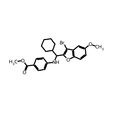 COC(=O)c1ccc(NC(c2oc3ccc(OC)cc3c2Br)C2CCCCC2)cc1